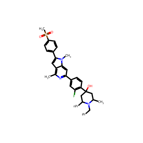 CCCC1CC(O)(c2ccc(-c3cc4c(cc(-c5ccc(S(C)(=O)=O)cc5)n4C)c(C)n3)cc2F)CC(C)N1CC(C)C